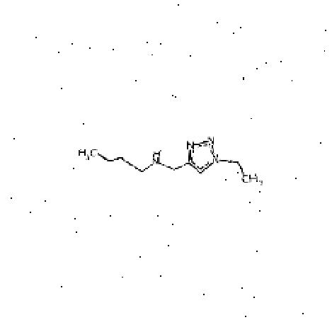 CCCCNCc1cn(CC)nn1